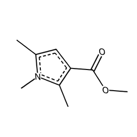 COC(=O)c1cc(C)n(C)c1C